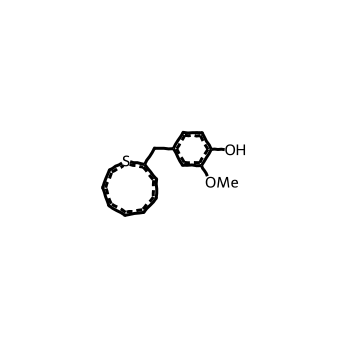 COc1cc(Cc2cccccccs2)ccc1O